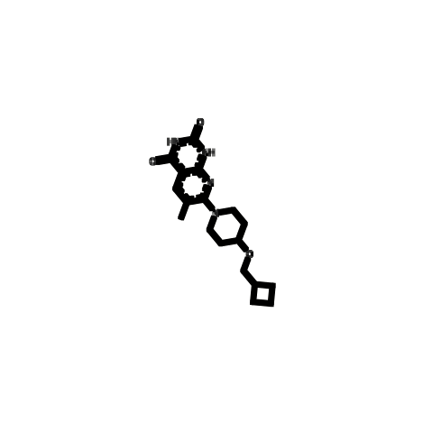 Cc1cc2c(=O)[nH]c(=O)[nH]c2nc1N1CCC(OCC2CCC2)CC1